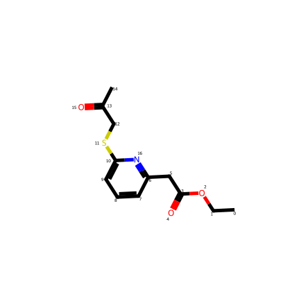 CCOC(=O)Cc1cccc(SCC(C)=O)n1